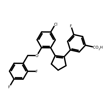 O=C(O)c1cc(F)cc(C2=C(c3cc(Cl)ccc3OCc3ccc(F)cc3F)CCC2)c1